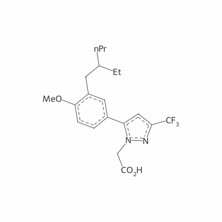 CCCC(CC)Cc1cc(-c2cc(C(F)(F)F)nn2CC(=O)O)ccc1OC